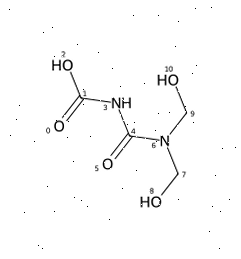 O=C(O)NC(=O)N(CO)CO